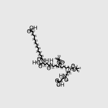 CC(C)(C)OC(=O)N(CCCCN(CCCNC(=O)CCC(NC(=O)CCCCCCCCCCCCCC(=O)O)C(=O)O)C(=O)OC(C)(C)C)CCCNC(=O)CCC(=O)O